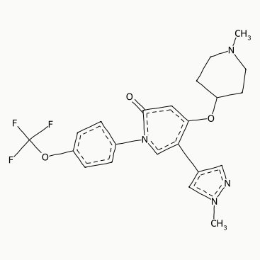 CN1CCC(Oc2cc(=O)n(-c3ccc(OC(F)(F)F)cc3)cc2-c2cnn(C)c2)CC1